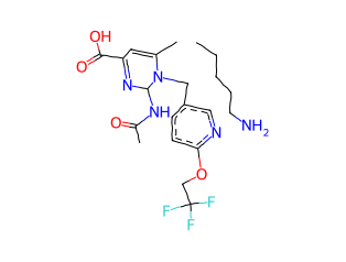 CC(=O)NC1N=C(C(=O)O)C=C(C)N1Cc1ccc(OCC(F)(F)F)nc1.CCCCCN